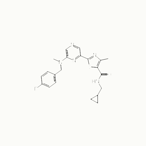 Cc1nc(-c2cncc(N(C)Cc3ccc(F)cc3)n2)sc1C(=O)NCC1CC1